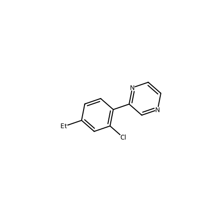 CCc1ccc(-c2cnccn2)c(Cl)c1